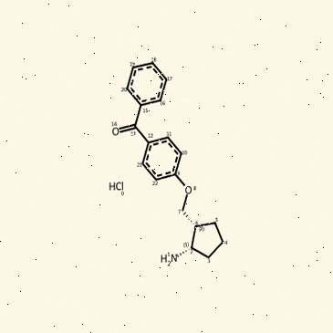 Cl.N[C@H]1CCC[C@H]1COc1ccc(C(=O)c2ccccc2)cc1